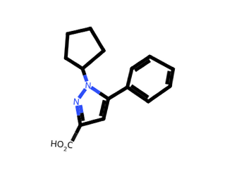 O=C(O)c1cc(-c2ccccc2)n(C2CCCC2)n1